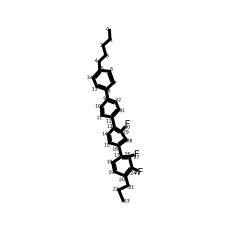 CCCCCc1ccc(-c2ccc(-c3ccc(-c4ccc(CCC)c(F)c4F)cc3F)cc2)cc1